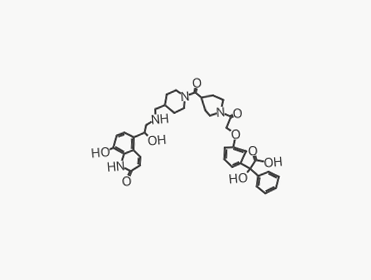 O=C(COc1cccc(C(O)(C(=O)O)c2ccccc2)c1)N1CCC(C(=O)N2CCC(CNCC(O)c3ccc(O)c4[nH]c(=O)ccc34)CC2)CC1